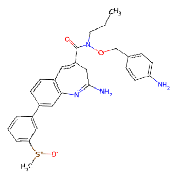 CCCN(OCc1ccc(N)cc1)C(=O)C1=Cc2ccc(-c3cccc([S+](C)[O-])c3)cc2N=C(N)C1